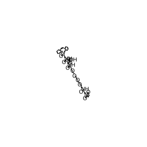 O=C(CCN1C(=O)C=CC1=O)NCCOCCOCCOCCOCCC(=O)NCC(C(=O)NCCC(=O)N1Cc2ccccc2C#Cc2ccccc21)S(=O)(=O)O